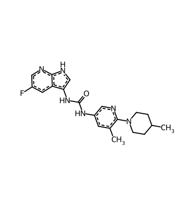 Cc1cc(NC(=O)Nc2c[nH]c3ncc(F)cc23)cnc1N1CCC(C)CC1